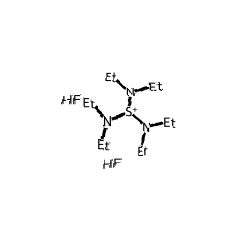 CCN(CC)[S+](N(CC)CC)N(CC)CC.F.F